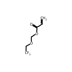 C=CC(=O)OCOCC(F)(F)F